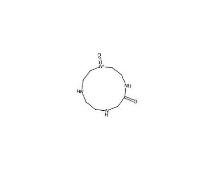 O=C1CNCCNCC[N+](=O)CCN1